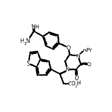 CCCN1C(=O)C(=O)N(C(CC(=O)O)c2ccc3sccc3c2)CC1Oc1ccc(C(=N)N)cc1